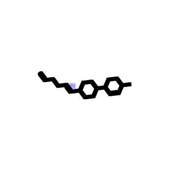 C=CCC/C=C/C1CCC(C2C=CC(C)CC2)CC1